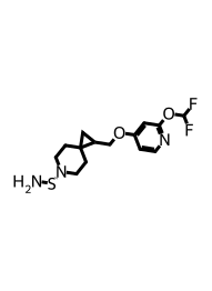 NSN1CCC2(CC1)CC2COc1ccnc(OC(F)F)c1